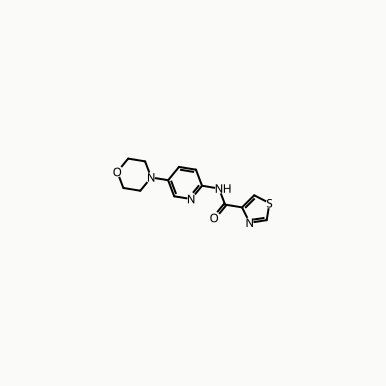 O=C(Nc1ccc(N2CCOCC2)cn1)c1cscn1